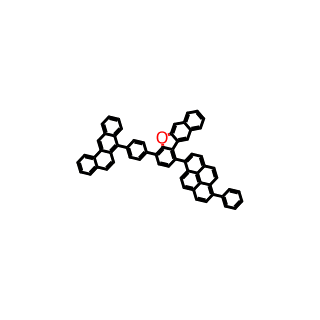 c1ccc(-c2ccc3ccc4c(-c5ccc(-c6ccc(-c7c8ccccc8cc8c7ccc7ccccc78)cc6)c6oc7cc8ccccc8cc7c56)ccc5ccc2c3c54)cc1